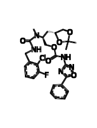 CN(C(=O)NCc1cccc(F)c1Cl)[C@H](COC(=O)Nc1noc(-c2ccccc2)n1)C[C@@H]1COC(C)(C)O1